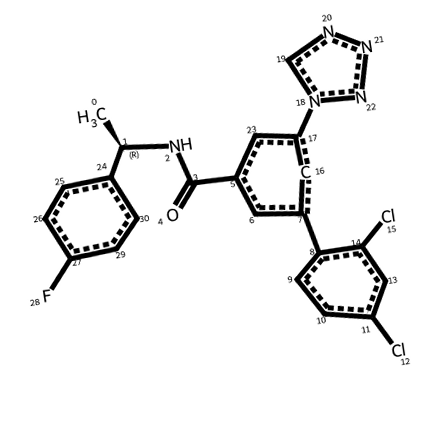 C[C@@H](NC(=O)c1cc(-c2ccc(Cl)cc2Cl)cc(-n2cnnn2)c1)c1ccc(F)cc1